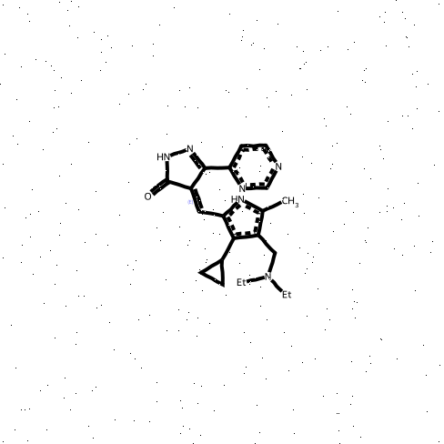 CCN(CC)Cc1c(C)[nH]c(/C=C2/C(=O)NN=C2c2ccncn2)c1C1CC1